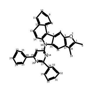 Cc1oc2cc3c4c5ccccc5ccc4n(-c4cc(-c5ccccc5)nc(-c5ccccc5)n4)c3cc2c1C